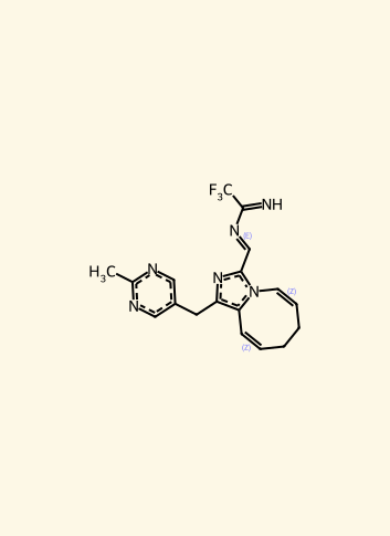 Cc1ncc(Cc2nc(/C=N/C(=N)C(F)(F)F)n3c2/C=C\CC/C=C\3)cn1